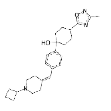 Cc1noc(C2CCC(O)(c3ccc(C=C4CCN(C5CCC5)CC4)cc3)CC2)n1